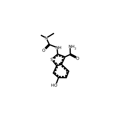 CN(C)C(=O)Nc1sc2cc(O)ccc2c1C(N)=O